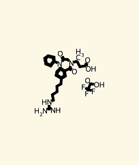 CC(CC(=O)O)N1CC(=O)N(c2ccccc2)c2ccc(CCCCCNC(=N)N)cc2C1=O.O=C(O)C(F)(F)F